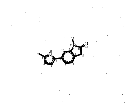 Cc1ccc(-c2ccc3c(c2)N(C)C(=O)C3)o1